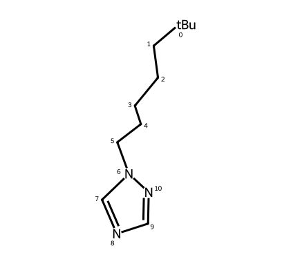 CC(C)(C)CCCCCn1cncn1